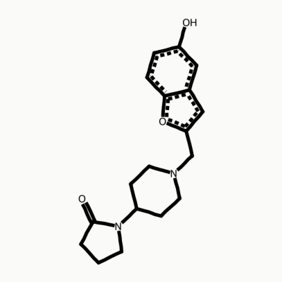 O=C1CCCN1C1CCN(Cc2cc3cc(O)ccc3o2)CC1